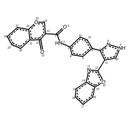 O=C(Nc1ccc(-c2n[nH]cc2-c2nc3ccccc3o2)cc1)c1coc2ccccc2c1=O